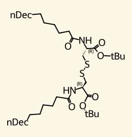 CCCCCCCCCCCCCCCC(=O)N[C@@H](CSSC[C@H](NC(=O)CCCCCCCCCCCCCCC)C(=O)OC(C)(C)C)C(=O)OC(C)(C)C